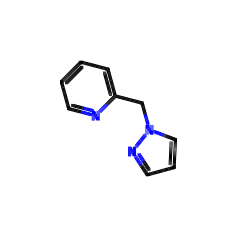 c1ccc(Cn2cccn2)nc1